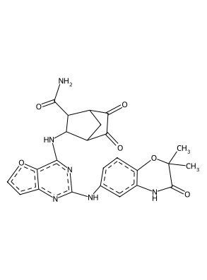 CC1(C)Oc2ccc(Nc3nc(NC4C5CC(C(=O)C5=O)C4C(N)=O)c4occc4n3)cc2NC1=O